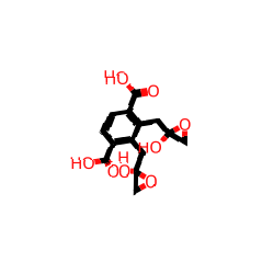 O=C(O)c1ccc(C(=O)O)c(CC2(O)CO2)c1CC1(O)CO1